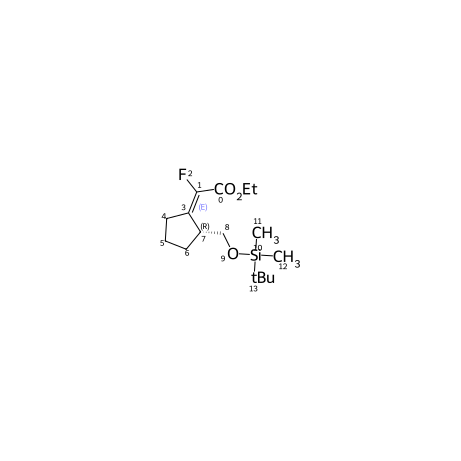 CCOC(=O)/C(F)=C1/CCC[C@H]1CO[Si](C)(C)C(C)(C)C